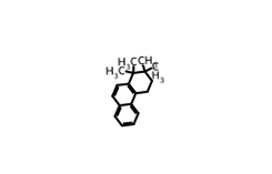 CC1(C)CCc2c(ccc3ccccc23)C1(C)C